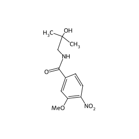 COc1cc(C(=O)NCC(C)(C)O)ccc1[N+](=O)[O-]